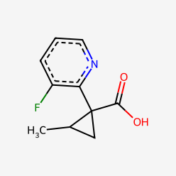 CC1CC1(C(=O)O)c1ncccc1F